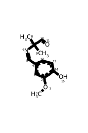 COc1cc(/C=N\C(C)(C)C=O)ccc1O